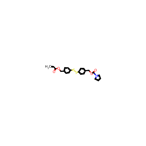 C=CC(=O)OCc1ccc(SSc2ccc(COC(=O)n3cccc3)cc2)cc1